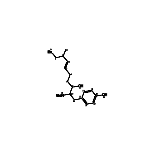 CCC(C)CC(C)/C=C/CCC(O)C(Cc1ccc(O)cc1)NC